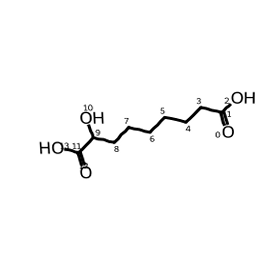 O=C(O)CCCCCCC(O)C(=O)O